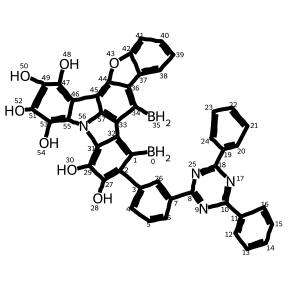 Bc1c(-c2cccc(-c3nc(-c4ccccc4)nc(-c4ccccc4)n3)c2)c(O)c(O)c2c1c1c(B)c3c4ccccc4oc3c3c4c(O)c(O)c(O)c(O)c4n2c13